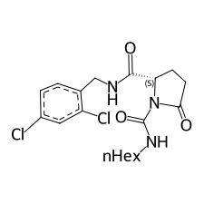 CCCCCCNC(=O)N1C(=O)CC[C@H]1C(=O)NCc1ccc(Cl)cc1Cl